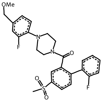 COCc1ccc(N2CCN(C(=O)c3cc(S(C)(=O)=O)ccc3-c3ccccc3F)CC2)c(F)c1